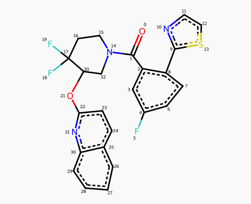 O=C(c1cc(F)ccc1-c1nccs1)N1CCC(F)(F)C(Oc2ccc3ccccc3n2)C1